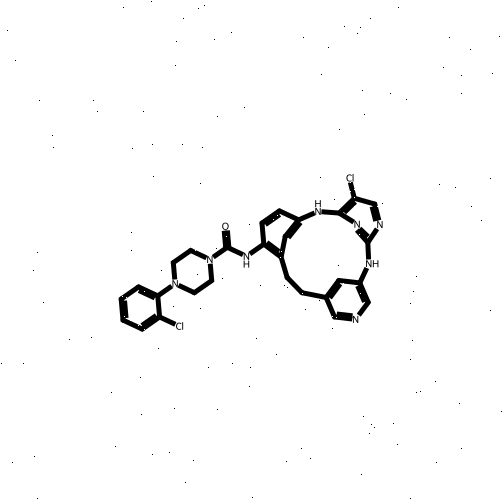 O=C(Nc1ccc2cc1CCc1cncc(c1)Nc1ncc(Cl)c(n1)N2)N1CCN(c2ccccc2Cl)CC1